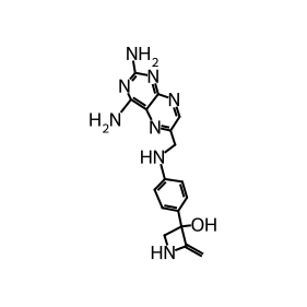 C=C1NCC1(O)c1ccc(NCc2cnc3nc(N)nc(N)c3n2)cc1